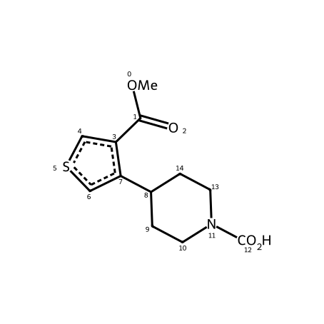 COC(=O)c1cscc1C1CCN(C(=O)O)CC1